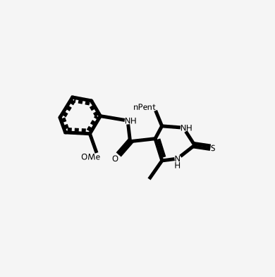 CCCCCC1NC(=S)NC(C)=C1C(=O)Nc1ccccc1OC